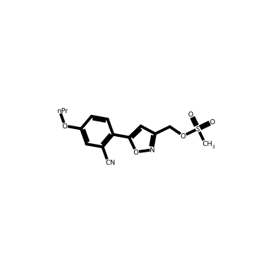 CCCOc1ccc(-c2cc(COS(C)(=O)=O)no2)c(C#N)c1